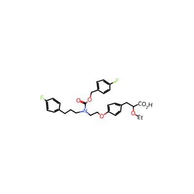 CCOC(Cc1ccc(OCCN(CCCc2ccc(F)cc2)C(=O)OCc2ccc(F)cc2)cc1)C(=O)O